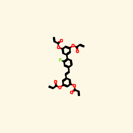 C=CC(=O)Oc1cc(/C=C/c2ccc(-c3cc(OC(=O)C=C)cc(OC(=O)C=C)c3)c(F)c2)cc(OC(=O)C=C)c1